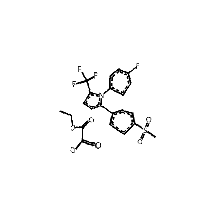 CCOC(=O)C(=O)Cl.CS(=O)(=O)c1ccc(-c2ccc(C(F)(F)F)n2-c2ccc(F)cc2)cc1